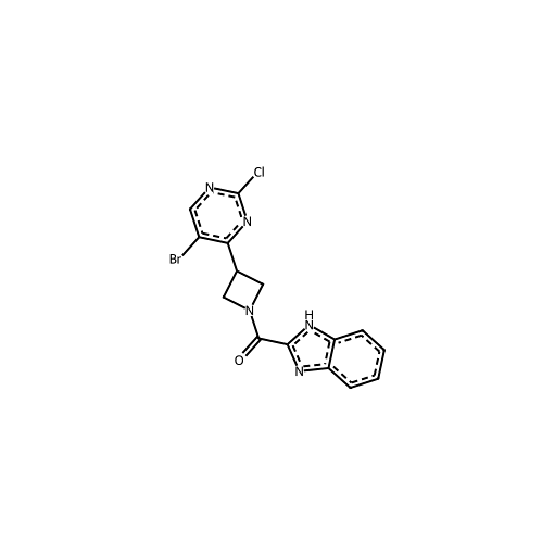 O=C(c1nc2ccccc2[nH]1)N1CC(c2nc(Cl)ncc2Br)C1